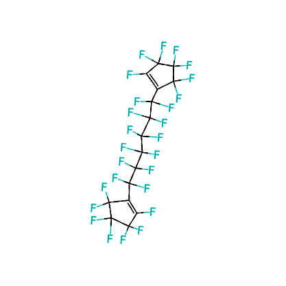 FC1=C(C(F)(F)C(F)(F)C(F)(F)C(F)(F)C(F)(F)C(F)(F)C2=C(F)C(F)(F)C(F)(F)C2(F)F)C(F)(F)C(F)(F)C1(F)F